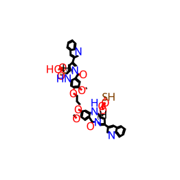 COc1cc2c(cc1OCCCOc1cc3c(cc1OC)C(=O)N1C=C(c4cnc5ccccc5c4)C[C@H]1C(S(=O)(=O)O)N3)NC(OOOS)[C@@H]1CC(c3cnc4ccccc4c3)=CN1C2=O